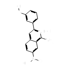 COc1cccc(-c2cc3ccc(N(C)C)cc3c(N)n2)c1.Cl